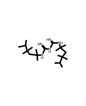 CC(C)C(C)(C)CC(C)(C)NC(=N)NC(=N)NC(C)(C)CC(C)(C)C(C)C